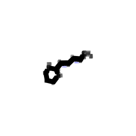 C/C=C/C=C/C1SCCCS1